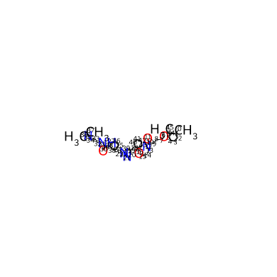 Cc1cccc(OCCCC(=O)N2CCCOc3c(-c4cnn(Cc5cccc(C(=O)NCCCN(C)C)c5)c4)cccc32)c1C